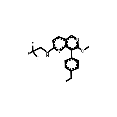 CCc1ccc(-c2c(OC)ncc3ccc(NCC(F)(F)F)nc23)cc1